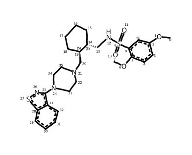 COc1ccc(OC)c(S(=O)(=O)NC[C@H]2CCCC[C@@H]2CN2CCN(c3nsc4ccccc34)CC2)c1